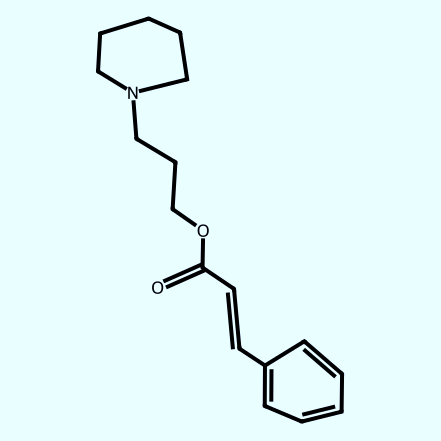 O=C(C=Cc1ccccc1)OCCCN1CCCCC1